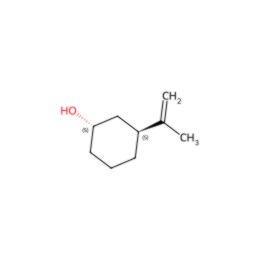 C=C(C)[C@H]1CCC[C@H](O)C1